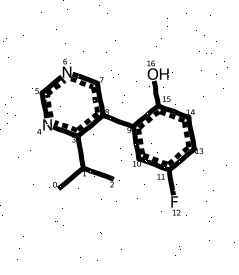 CC(C)c1ncncc1-c1cc(F)ccc1O